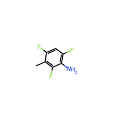 Cc1c(F)cc(F)c(N)c1F